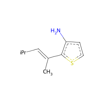 C/C(=C\C(C)C)c1sccc1N